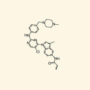 C=CC(=O)Nc1ccc2c(c1)c(C)cn2-c1nc(Nc2ccc(CN3CCN(C)CC3)cc2)ncc1Cl